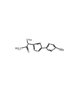 CSc1ccc(-c2ccc(C(C=O)C(=O)C(=O)O)cc2)cc1